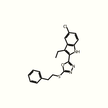 CCc1c(-c2nnc(SCCc3ccccc3)o2)[nH]c2ccc(Cl)cc12